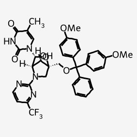 COc1ccc(C(OC[C@@]23CN(c4nccc(C(F)(F)F)n4)[C@@H]([C@H](n4cc(C)c(=O)[nH]c4=O)O2)[C@@H]3O)(c2ccccc2)c2ccc(OC)cc2)cc1